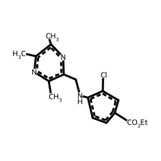 CCOC(=O)c1ccc(NCc2nc(C)c(C)nc2C)c(Cl)c1